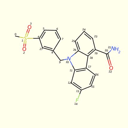 CS(=O)(=O)c1cccc(Cn2c3cc(F)c[c]c3c3c(C(N)=O)cccc32)c1